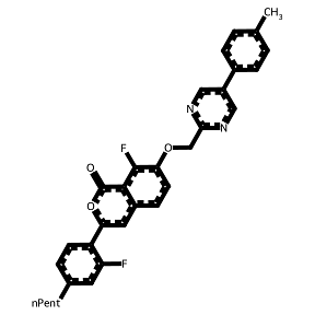 CCCCCc1ccc(-c2cc3ccc(OCc4ncc(-c5ccc(C)cc5)cn4)c(F)c3c(=O)o2)c(F)c1